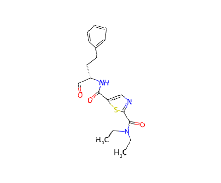 CCN(CC)C(=O)c1ncc(C(=O)N[C@H](C=O)CCc2ccccc2)s1